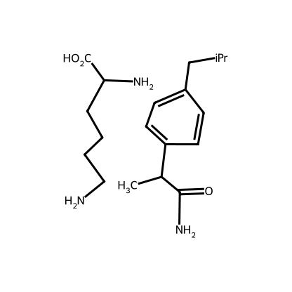 CC(C)Cc1ccc(C(C)C(N)=O)cc1.NCCCCC(N)C(=O)O